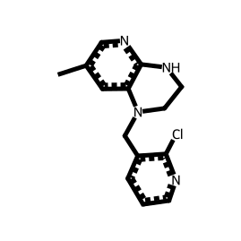 Cc1cnc2c(c1)N(Cc1cccnc1Cl)CCN2